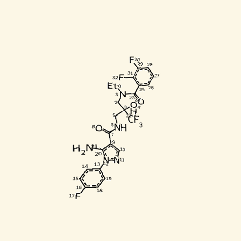 CCN(CC(O)(CNC(=O)c1cnn(-c2ccc(F)cc2)c1N)C(F)(F)F)C(=O)c1cccc(F)c1F